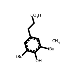 C.CC(C)(C)c1cc(CCC(=O)O)cc(C(C)(C)C)c1O